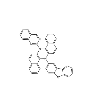 c1ccc2nc(N3c4ccc5ccccc5c4N(c4ccc5oc6ccccc6c5c4)c4ccc5ccccc5c43)ncc2c1